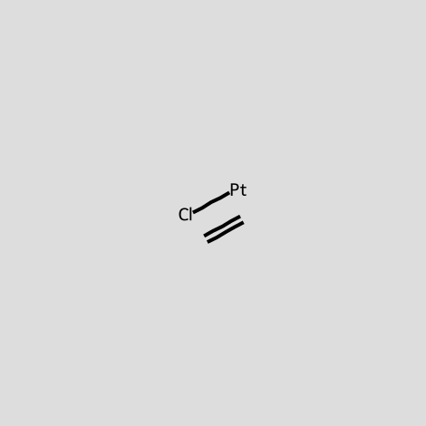 C=C.[Cl][Pt]